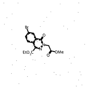 CCOC(=O)c1nn(CC(=O)OC)c(=O)c2cc(Br)ccc12